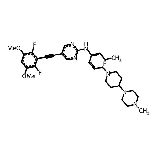 COc1cc(OC)c(F)c(C#Cc2cnc(NC(/C=C\CN3CCC(N4CCN(C)CC4)CC3)=C/C(C)F)nc2)c1F